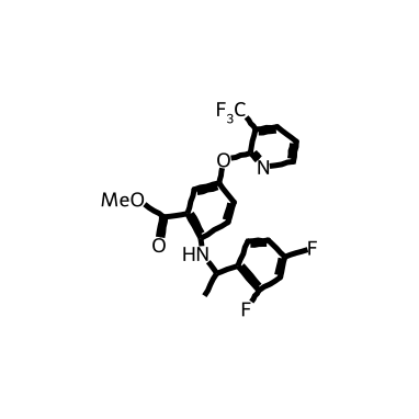 COC(=O)c1cc(Oc2ncccc2C(F)(F)F)ccc1NC(C)c1ccc(F)cc1F